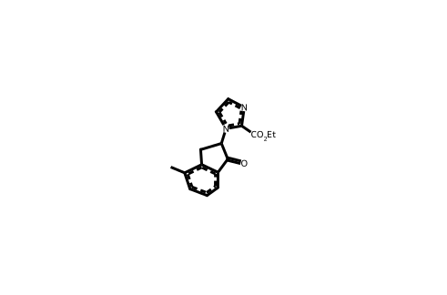 CCOC(=O)c1nccn1C1Cc2c(C)cccc2C1=O